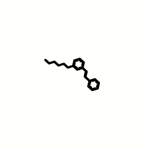 CCCCCCc1cccc(C=Cc2ccccc2)c1